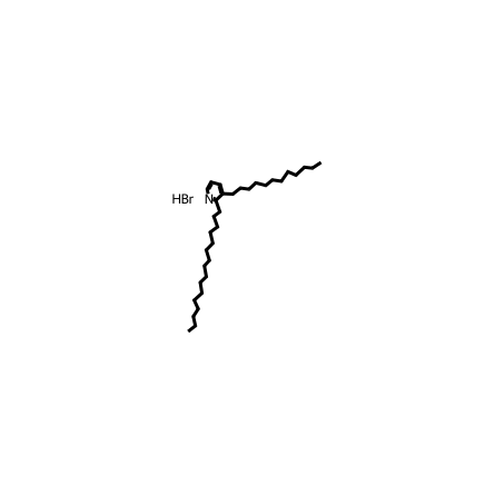 Br.CCCCCCCCCCCCCCCCc1ncccc1CCCCCCCCCCCC